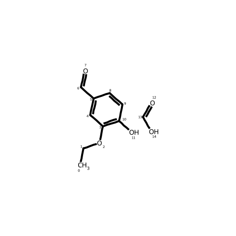 CCOc1cc(C=O)ccc1O.O=CO